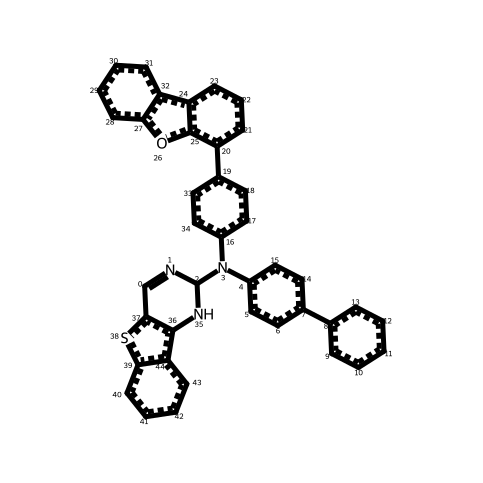 C1=NC(N(c2ccc(-c3ccccc3)cc2)c2ccc(-c3cccc4c3oc3ccccc34)cc2)Nc2c1sc1ccccc21